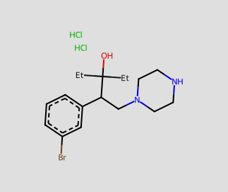 CCC(O)(CC)C(CN1CCNCC1)c1cccc(Br)c1.Cl.Cl